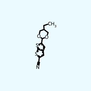 CCC1COC(c2cc3cc(C#N)sc3s2)OC1